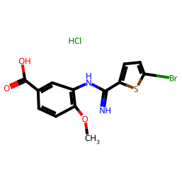 COc1ccc(C(=O)O)cc1NC(=N)c1ccc(Br)s1.Cl